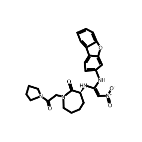 O=C(CN1CCCC[C@H](NC(=C[N+](=O)[O-])Nc2ccc3c(c2)oc2ccccc23)C1=O)N1CCCC1